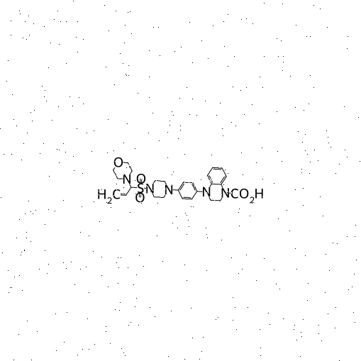 C=CC(N1CCOCC1)S(=O)(=O)N1CCN(c2ccc(N3CCN(C(=O)O)c4ccccc43)cc2)CC1